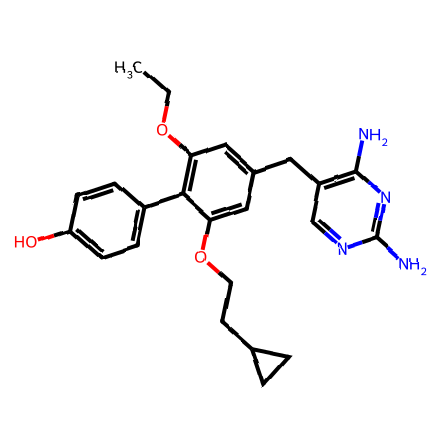 CCOc1cc(Cc2cnc(N)nc2N)cc(OCCC2CC2)c1-c1ccc(O)cc1